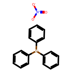 O=[N+]([O-])[O-].c1ccc([S+](c2ccccc2)c2ccccc2)cc1